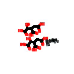 O=C(O)CC(C(=O)O)C(O)C(=O)O.O=C(O)CC(C(=O)O)C(O)C(=O)O.[SnH2].[SnH2].[SnH2]